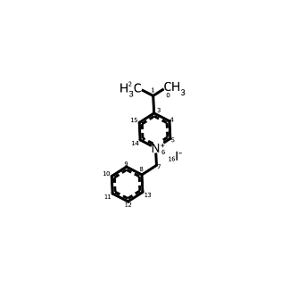 CC(C)c1cc[n+](Cc2ccccc2)cc1.[I-]